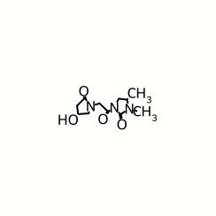 CC1CN(C(=O)CN2CC(O)CC2=O)C(=O)N1C